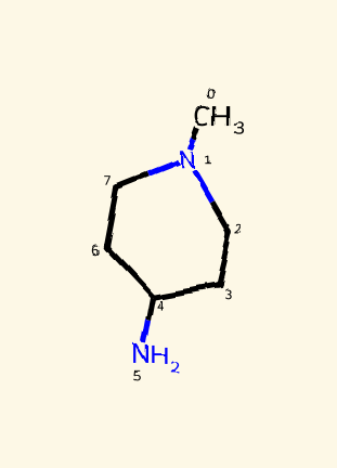 CN1[CH]CC(N)CC1